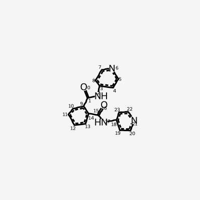 O=C(Nc1ccncc1)c1ccccc1C(=O)Nc1ccncc1